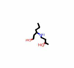 CCCC(CCO)NCCC(C)O